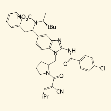 CC(C)/C=C(\C#N)C(=O)N1CCCC1Cn1c(NC(=O)c2ccc(Cl)cc2)nc2cc(C(Cc3ccccc3)N(C(=O)O)[C@@H](C)C(C)(C)C)ccc21